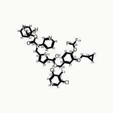 O=C(O[C@@H](Cc1c(Cl)cncc1Cl)c1ccc(OC(F)F)c(OCC2CC2)c1)c1ccc(CN(C(=O)O[C@H]2CN3CCC2CC3)c2cccnc2)s1